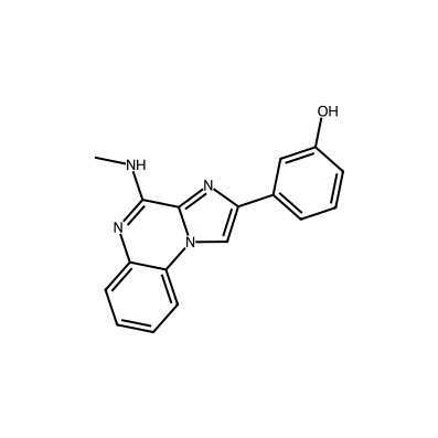 CNc1nc2ccccc2n2cc(-c3cccc(O)c3)nc12